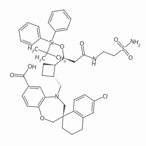 CC(C)(C)[Si](O[C@@H](CC(=O)NCCS(N)(=O)=O)[C@@H]1CC[C@H]1CN1C[C@@]2(CCCc3cc(Cl)ccc32)COc2ccc(C(=O)O)cc21)(c1ccccc1)c1ccccc1